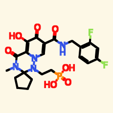 CN1C(=O)c2c(O)c(=O)c(C(=O)NCc3ccc(F)cc3F)cn2N(CCP(=O)(O)O)C12CCCC2